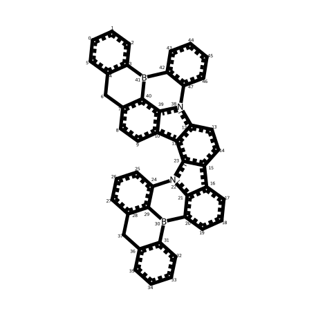 c1ccc2c(c1)Cc1ccc3c4c(ccc5c6cccc7c6n(c54)-c4cccc5c4B7c4ccccc4C5)n4c3c1B2c1ccccc1-4